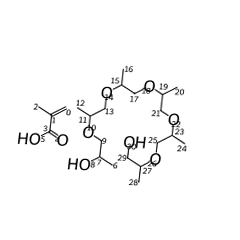 C=C(C)C(=O)O.CC(O)COC(C)COC(C)COC(C)COC(C)COC(C)CO